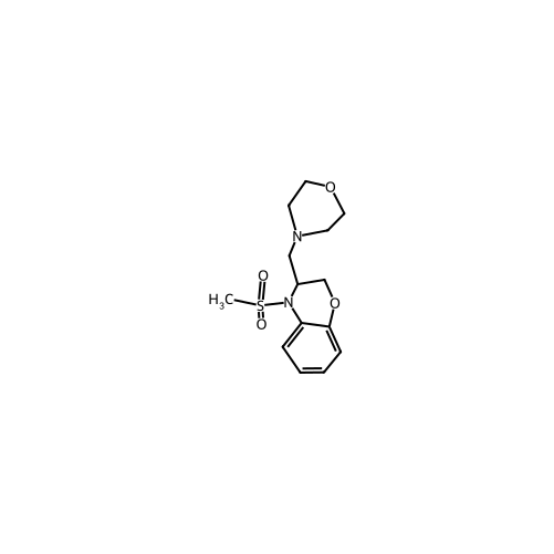 CS(=O)(=O)N1c2ccccc2OCC1CN1CCOCC1